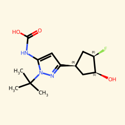 CC(C)(C)n1nc([C@H]2C[C@@H](F)[C@@H](O)C2)cc1NC(=O)O